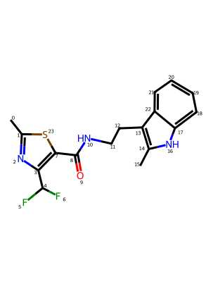 Cc1nc(C(F)F)c(C(=O)NCCc2c(C)[nH]c3ccccc23)s1